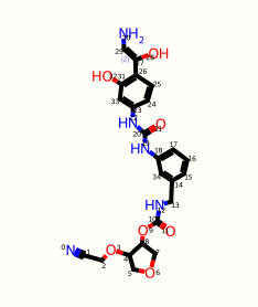 N#CCOC1COCC1OC(=O)NCc1cccc(NC(=O)Nc2ccc(/C(O)=C/N)c(O)c2)c1